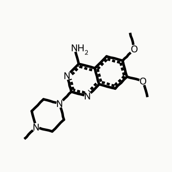 COc1cc2nc(N3CCN(C)CC3)nc(N)c2cc1OC